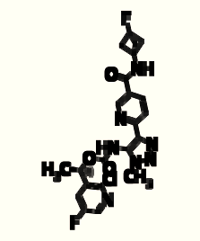 C[C@@H](OC(=O)Nc1c(-c2ccc(C(=O)NC34CC(F)(C3)C4)cn2)nnn1C)c1cc(F)cnc1Cl